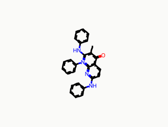 Cc1c(Nc2ccccc2)n(-c2ccccc2)c2nc(Nc3ccccc3)ccc2c1=O